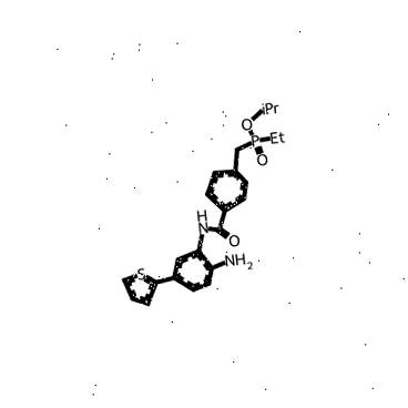 CCP(=O)(Cc1ccc(C(=O)Nc2cc(-c3cccs3)ccc2N)cc1)OC(C)C